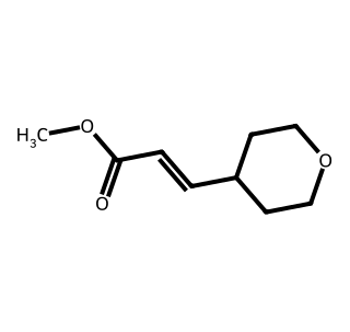 COC(=O)C=CC1CCOCC1